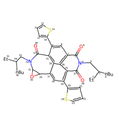 CCCCC(CC)CN1C(=O)c2cc(-c3cccs3)c3c4c(cc(-c5cccs5)c(c24)C1=O)C1OC1N(CC(CC)CCCC)C3=O